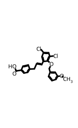 COc1cccc(COc2c(Cl)cc(Cl)cc2C=CCc2ccc(C(=O)O)cc2)c1